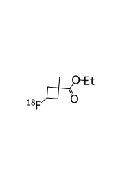 CCOC(=O)C1(C)CC([18F])C1